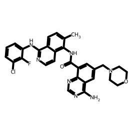 Cc1ccc2c(Nc3cccc(Cl)c3F)nccc2c1NC(=O)c1cc(CN2CCOCC2)cc2c(N)ncnc12